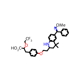 CON=C(c1ccccc1)c1ccc2c(c1)C(C)(C)CC(CCOc1ccc(CC(OCC(F)(F)F)C(=O)O)cc1)N2